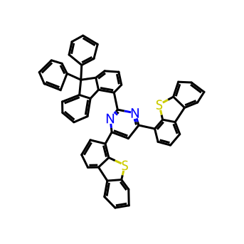 c1ccc(C2(c3ccccc3)c3ccccc3-c3c(-c4nc(-c5cccc6c5sc5ccccc56)cc(-c5cccc6c5sc5ccccc56)n4)cccc32)cc1